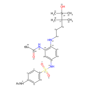 CC(=O)Nc1ccc(S(=O)(=O)Nc2ccc(NCCCC(C)(C)[Si](C)(C)O)c(NC(=O)C(C)(C)C)c2)cc1